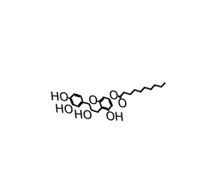 CCCCCCCCCC(=O)Oc1cc(O)c2c(c1)OC(c1ccc(O)c(O)c1)C(O)C2